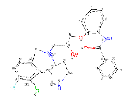 O=C(Nc1ccccc1OCC(O)CN(Cc1ccc(F)c(Cl)c1)C1CCNCC1)c1ccccc1